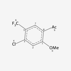 COc1cc(Cl)c(C(F)(F)F)cc1C(C)=O